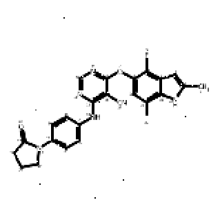 Cc1cc2c(F)c(Oc3ncnc(Nc4ccc(N5CCCC5=O)cc4)c3C#N)cc(F)c2[nH]1